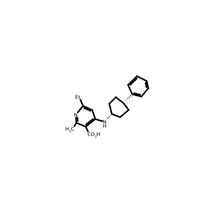 CCc1cc(N[C@H]2CC[C@@H](c3ccccc3)CC2)c(C(=O)O)c(C)n1